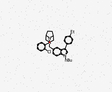 CCCCn1cc(-c2ccc(CC)cc2)c2cc(CN3CC4CCC(C3)N4Cc3ccccc3Cl)ccc21